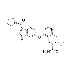 COc1cc2nccc(Oc3ccc4c(C(=O)N5CCCC5)c[nH]c4c3)c2cc1C(N)=O